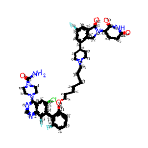 NC(=O)N1CCN(c2ncnc3c(F)c(-c4c(F)cccc4OCCCCCCCN4CCC(c5cc(F)cc6c5CN(C5CCC(=O)NC5=O)C6=O)CC4)c(Cl)cc23)CC1